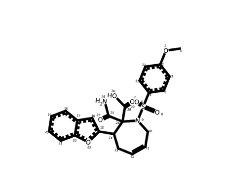 COc1ccc(S(=O)(=O)N2CC=CCC(c3cc4ccccc4o3)C2(C(N)=O)C(=O)O)cc1